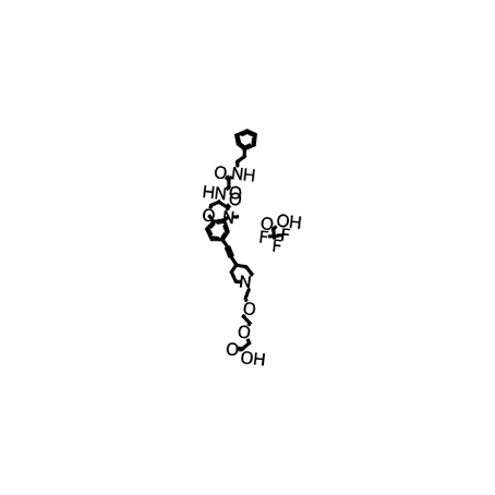 CN1C(=O)[C@@H](NC(=O)C(=O)NCCc2ccccc2)COc2ccc(C#CC3CCN(CCOCCOCC(=O)O)CC3)cc21.O=C(O)C(F)(F)F